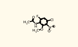 COc1c(NC(C)=O)c(F)cc(Cl)c1[N+](=O)[O-]